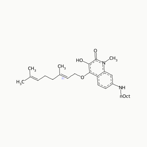 CCCCCCCCNc1ccc2c(OC/C=C(\C)CCC=C(C)C)c(O)c(=O)n(C)c2c1